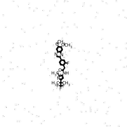 COc1cc2ncc(-c3ccc(CC(=O)Nc4cc(C(C)(C)C(F)(F)F)nn4C)c(F)c3)nc2cc1OC